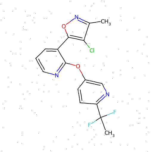 Cc1noc(-c2cccnc2Oc2ccc(C(C)(F)F)nc2)c1Cl